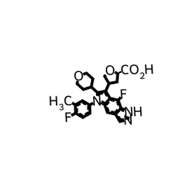 Cc1cc(-n2c(C3CCOCC3)c(C3CO[C@@H](C(=O)O)C3)c3c(F)c4[nH]ncc4cc32)ccc1F